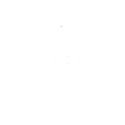 N#Cc1ccc(C(C(=O)CCc2ccc(F)cc2)n2cncn2)cc1